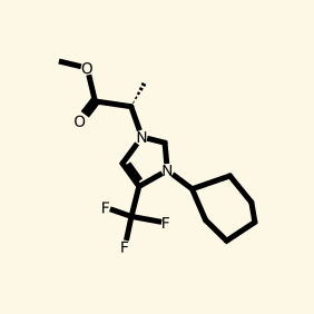 COC(=O)[C@H](C)N1C=C(C(F)(F)F)N(C2CCCCC2)C1